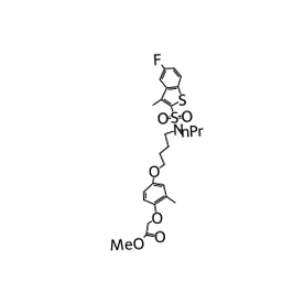 CCCN(CCCCOc1ccc(OCC(=O)OC)c(C)c1)S(=O)(=O)c1sc2ccc(F)cc2c1C